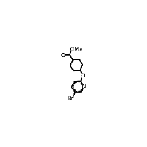 COC(=O)C1CCC(Oc2ccc(Br)cn2)CC1